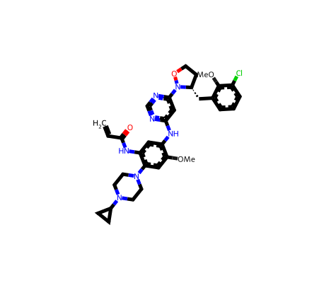 C=CC(=O)Nc1cc(Nc2cc(N3OCC[C@@H]3Cc3cccc(Cl)c3OC)ncn2)c(OC)cc1N1CCN(C2CC2)CC1